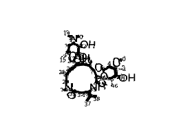 CO[C@]1(C)C[C@H](O[C@H]2[C@H](C)[C@@H](O[C@@H]3O[C@H](C)C[C@H](N(C)C)[C@H]3O)[C@](C)(O)C[C@@H](C)CN(C)C(=O)CC(C(C)C)NC(=O)[C@@H]2C)O[C@@H](C)[C@@H]1O